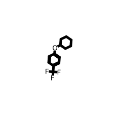 FC(F)(F)c1ccc(OC2CCCCC2)cc1